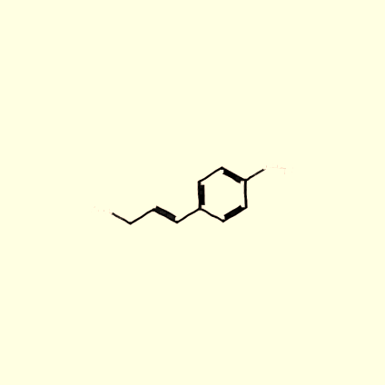 CCCCCCCc1ccc(C=CCOC(C)=O)cc1